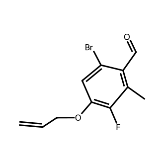 C=CCOc1cc(Br)c(C=O)c(C)c1F